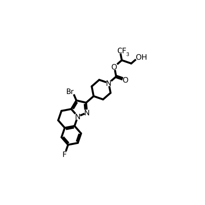 O=C(OC(CO)C(F)(F)F)N1CCC(c2nn3c(c2Br)CCc2cc(F)ccc2-3)CC1